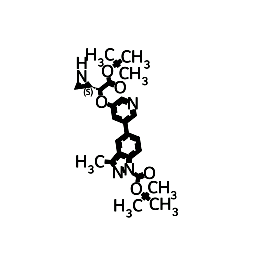 Cc1nn(C(=O)OC(C)(C)C)c2ccc(-c3cncc(OC(C(=O)OC(C)(C)C)[C@@H]4CN4)c3)cc12